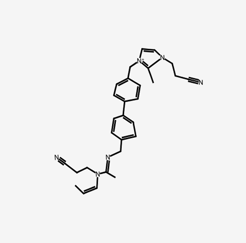 C/C=C\N(CCC#N)/C(C)=N/Cc1ccc(-c2ccc(C[n+]3ccn(CCC#N)c3C)cc2)cc1